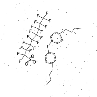 CCCCc1ccc([I+]c2ccc(CCCC)cc2)cc1.O=S(=O)([O-])C(F)(F)C(F)(F)C(F)(F)C(F)(F)C(F)(F)C(F)(F)C(F)(F)C(F)(F)F